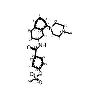 CN1CCN(c2cccc3c2C[C@H](NC(=O)c2ccc(OS(C)(=O)=O)cc2)CC3)CC1